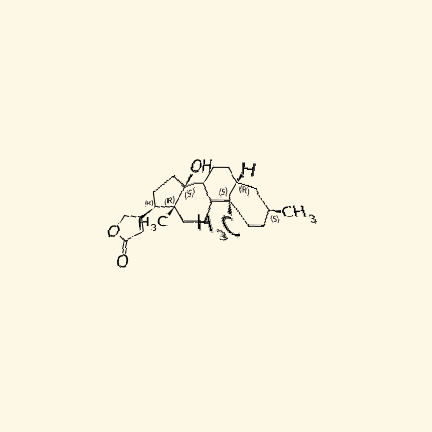 C[C@H]1CC[C@]2(C)C3CC[C@]4(C)[C@@H](C5=CC(=O)OC5)CC[C@]4(O)C3CC[C@@H]2C1